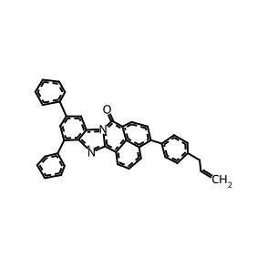 C=CCc1ccc(-c2ccc3c(=O)n4c5cc(-c6ccccc6)cc(-c6ccccc6)c5nc4c4cccc2c34)cc1